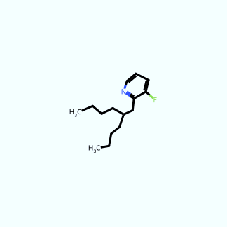 CCCCC(CCCC)Cc1ncccc1F